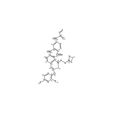 C=CC(=O)Nc1ccc(OC)c(Nc2ncc3c(n2)N(CCN2CCC2)CC(Oc2ccc(F)cc2F)=C3)c1